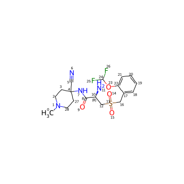 CN1CCC(C#N)(NC(=O)[C@@H](N)CS(=O)(=O)Cc2ccccc2OC(F)F)CC1